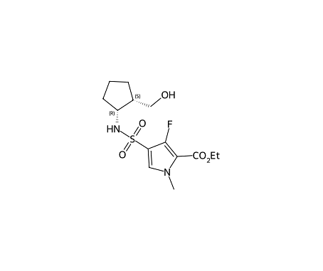 CCOC(=O)c1c(F)c(S(=O)(=O)N[C@@H]2CCC[C@@H]2CO)cn1C